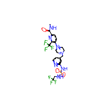 CNC(=O)c1ccc(N2CCN(Cc3ccnc(NS(=O)(=O)NCC(F)(F)F)c3)CC2)c(C(F)(F)F)n1